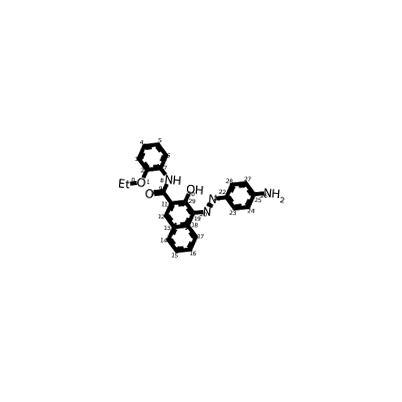 CCOc1ccccc1NC(=O)c1cc2ccccc2c(N=Nc2ccc(N)cc2)c1O